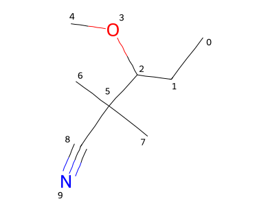 CCC(OC)C(C)(C)C#N